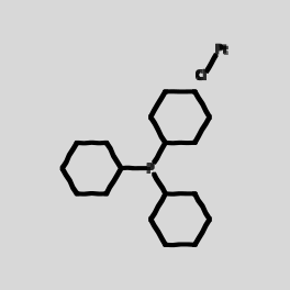 C1CCC(P(C2CCCCC2)C2CCCCC2)CC1.[Cl][Pt]